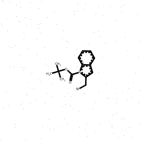 CC(C)(C)OC(=O)n1c(CBr)cc2ccccc21